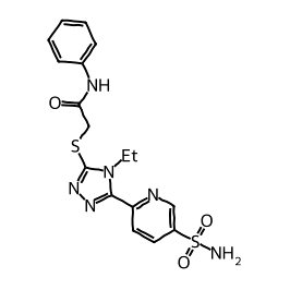 CCn1c(SCC(=O)Nc2ccccc2)nnc1-c1ccc(S(N)(=O)=O)cn1